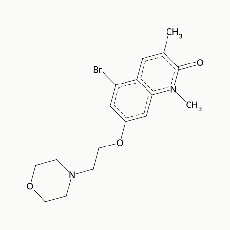 Cc1cc2c(Br)cc(OCCN3CCOCC3)cc2n(C)c1=O